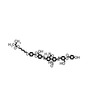 CCC(C)C(=O)OCCCCCCOc1ccc(C(=O)Oc2ccc(N=Nc3ccc(-c4ccc(N=Nc5ccc(OC(=O)c6ccc(O)cc6)c(CO)c5)cc4NC=O)c(C(N)=O)c3)cc2CO)cc1